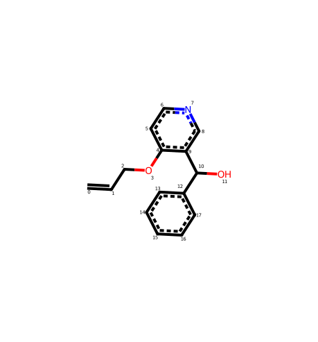 C=CCOc1ccncc1C(O)c1ccccc1